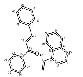 C=Cc1ccnc2ccccc12.O=C(C=Cc1ccccc1)c1ccccc1